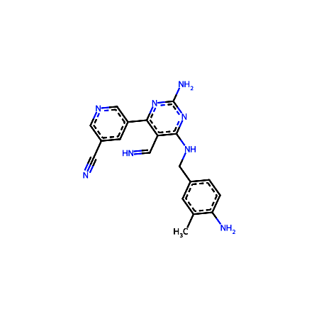 Cc1cc(CNc2nc(N)nc(-c3cncc(C#N)c3)c2C=N)ccc1N